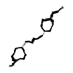 CCC=C[C@H]1CC[C@H](CCC=C[C@H]2CC[C@H](CCC)CC2)CC1